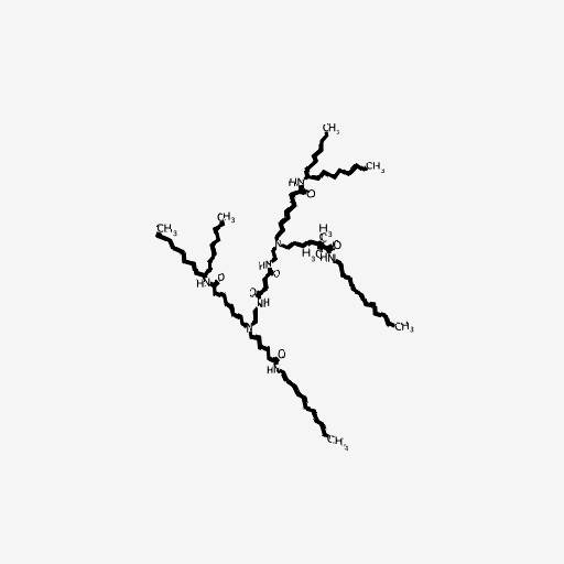 CCCCCCCCCCCNC(=O)CCCCCN(CCCCCCCC(=O)NC(CCCCCCCC)CCCCCCCC)CCNC(=O)CCC(=O)NCCN(CCCCCCCC(=O)NC(CCCCCCC)CCCCCCCC)CCCCC(C)(C)C(=O)NCCCCCCCCCCC